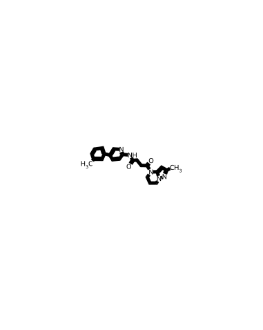 Cc1cccc(-c2ccc(NC(=O)CCC(=O)N3CCCn4nc(C)cc43)nc2)c1